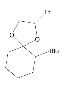 CCC1COC2(CCCCC2C(C)(C)C)O1